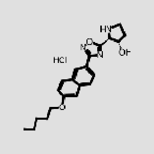 CCCCCOc1ccc2cc(-c3noc([C@H]4NCC[C@@H]4O)n3)ccc2c1.Cl